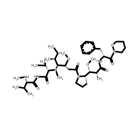 CC[C@H](C)[C@@H]([C@@H](CC(=O)N1CCC[C@H]1[C@H](OC)[C@@H](C)C(=O)N[C@H](Cc1ccccc1)C(=O)N1CCCCO1)OC)N(C)[C@H](C(=O)NC(=O)[C@@H](NC)C(C)C)C(C)C